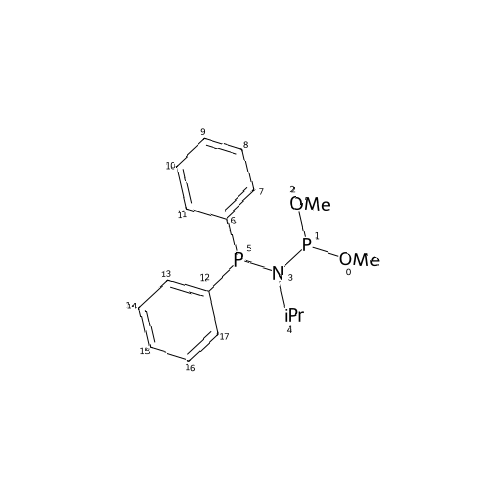 COP(OC)N(C(C)C)P(c1ccccc1)c1ccccc1